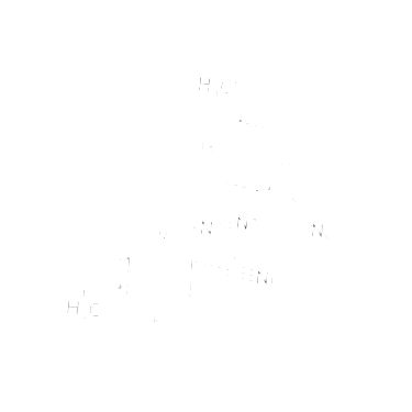 CC1CCC(C#N)(N=NC2(C#N)CCC(C)CC2)CC1